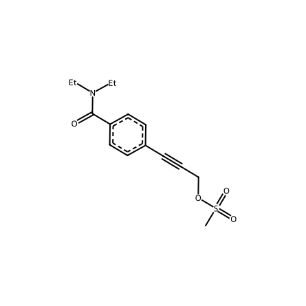 CCN(CC)C(=O)c1ccc(C#CCOS(C)(=O)=O)cc1